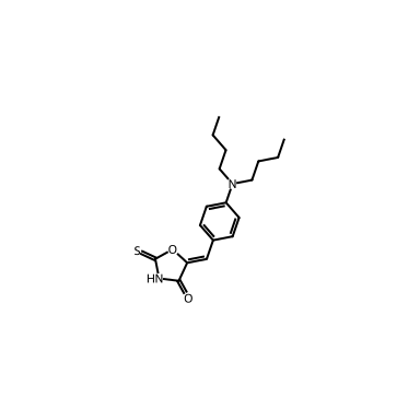 CCCCN(CCCC)c1ccc(/C=C2\OC(=S)NC2=O)cc1